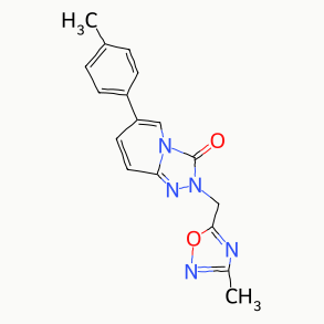 Cc1ccc(-c2ccc3nn(Cc4nc(C)no4)c(=O)n3c2)cc1